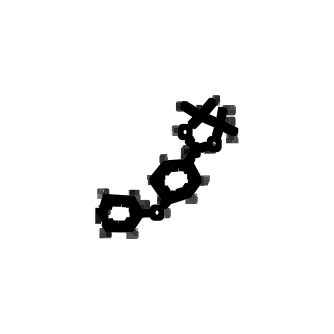 CC1(C)OB(c2ccc(Oc3ccncc3)cc2)OC1(C)C